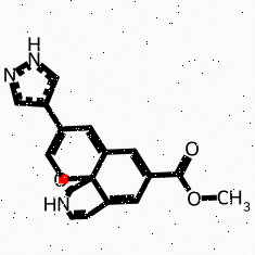 COC(=O)C1=CC2=CC(c3cn[nH]c3)=CCC23C(=O)NC=CC3=C1